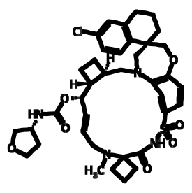 CN1C/C=C/[C@H](OC(=O)N[C@@H]2CCOC2)[C@@H]2CC[C@H]2CN2C[C@@]3(CCCc4cc(Cl)ccc43)COc3ccc(cc32)S(=O)(=O)NC(=O)C12CCC2